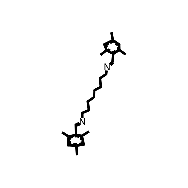 Cc1cc(C)c(/C=N/CCCCCCCC/N=C/c2c(C)cc(C)cc2C)c(C)c1